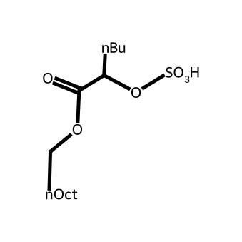 CCCCCCCCCOC(=O)C(CCCC)OS(=O)(=O)O